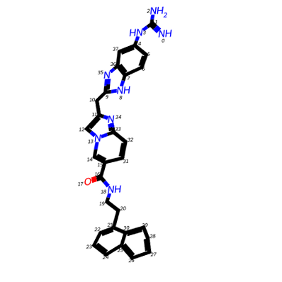 N=C(N)Nc1ccc2[nH]c(Cc3cn4cc(C(=O)NCCc5cccc6ccccc56)ccc4n3)nc2c1